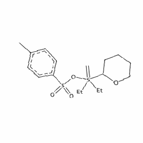 C=S(CC)(CC)(OS(=O)(=O)c1ccc(C)cc1)C1CCCCO1